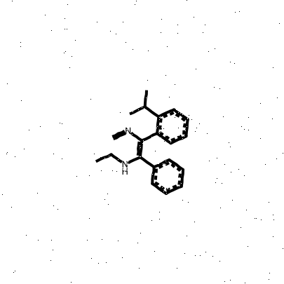 C=N/C(=C(\NCC)c1ccccc1)c1ccccc1C(C)C